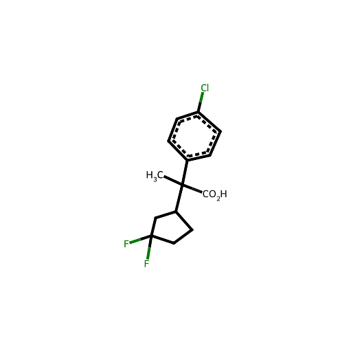 CC(C(=O)O)(c1ccc(Cl)cc1)C1CCC(F)(F)C1